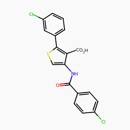 O=C(Nc1csc(-c2cccc(Cl)c2)c1C(=O)O)c1ccc(Cl)cc1